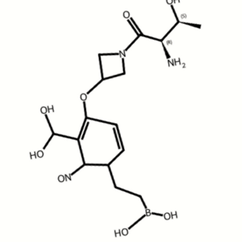 C[C@H](O)[C@@H](N)C(=O)N1CC(OC2=C(C(O)O)C(N=O)C(CCB(O)O)C=C2)C1